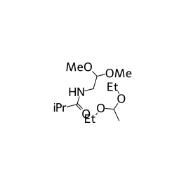 CCOC(C)OCC.COC(CNC(=O)C(C)C)OC